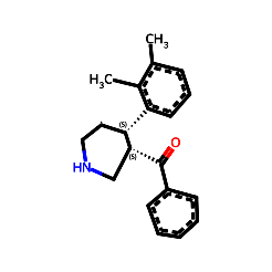 Cc1cccc([C@H]2[CH]CNC[C@H]2C(=O)c2ccccc2)c1C